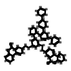 O=c1oc2ccccc2c2ncc(CCc3cc(CCc4cnc5c(c4)c(=O)oc4ccccc45)cc(-c4ccccc4-c4cnc(-c5ccccc5)cc4-c4ccc(-c5ccccc5)cc4)c3)cc12